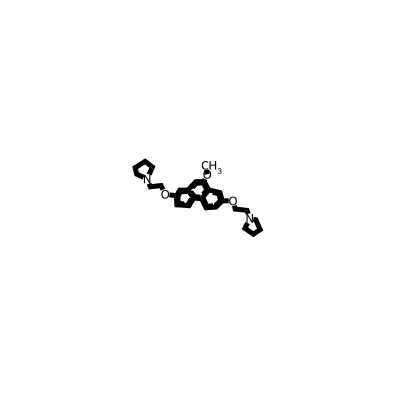 COc1cc2cc(OCCN3CCCC3)ccc2c2ccc(OCCN3CCCC3)cc12